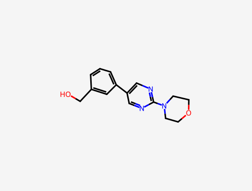 OCc1cccc(-c2cnc(N3CCOCC3)nc2)c1